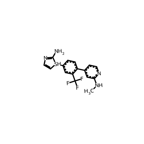 CNc1cc(-c2ccc([SH]3C=CN=C3N)cc2C(F)(F)F)ccn1